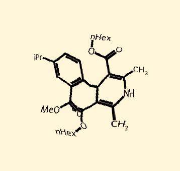 CCCCCCOC(=O)C1=C(C)NC(C)=C(C(=O)OCCCCCC)C1c1ccc(C(C)C)cc1C(=O)OC